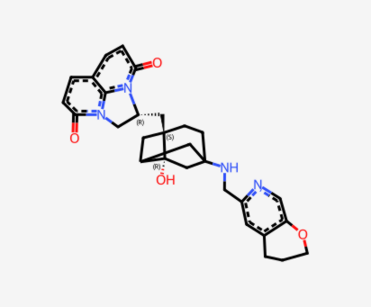 O=c1ccc2ccc(=O)n3c2n1C[C@H]3C[C@]12CCC3(NCc4cc5c(cn4)OCCC5)CC(C1)[C@]2(O)C3